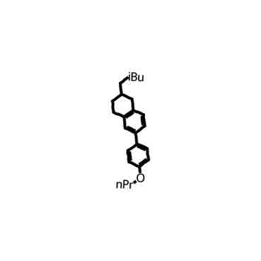 CCCOc1ccc(-c2ccc3c(c2)CCC(CC(C)CC)C3)cc1